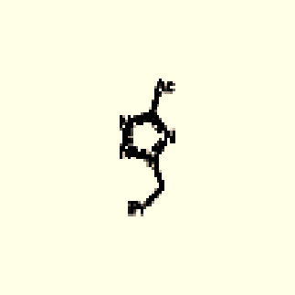 CC(=O)c1nnn(CC(C)C)n1